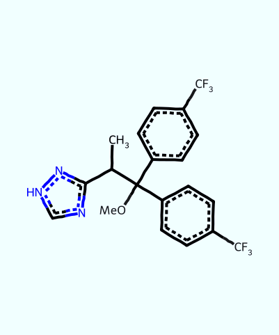 COC(c1ccc(C(F)(F)F)cc1)(c1ccc(C(F)(F)F)cc1)C(C)c1nc[nH]n1